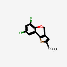 CCOC(=O)c1cc2c(s1)-c1cc(Cl)cc(F)c1OC2